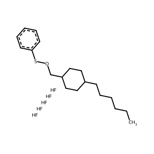 CCCCCCC1CCC(COSc2ccccc2)CC1.F.F.F.F.F